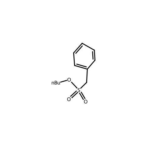 CCCCOS(=O)(=O)Cc1ccccc1